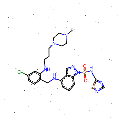 CCN1CCN(CCCNc2cc(Cl)ccc2CNc2cccc3c2cnn3S(=O)(=O)Nc2ncns2)CC1